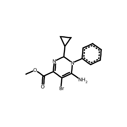 COC(=O)C1=NC(C2CC2)N(c2ccccc2)C(N)=C1Br